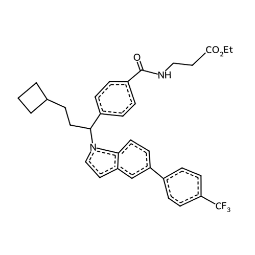 CCOC(=O)CCNC(=O)c1ccc(C(CCC2CCC2)n2ccc3cc(-c4ccc(C(F)(F)F)cc4)ccc32)cc1